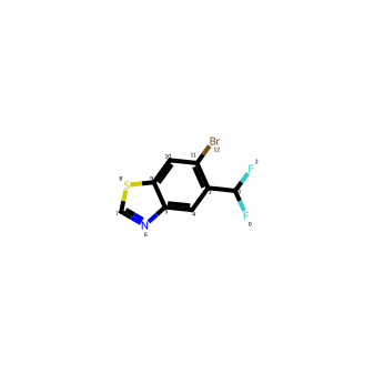 F[C](F)c1cc2ncsc2cc1Br